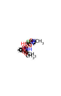 Cc1ccn([C@@H]2O[C@H](COP(=O)(NC3CC(C)(C)OC3=O)Oc3ccccc3)[C@@H](O)C2(F)F)c(=O)n1